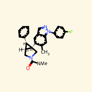 CNC(=O)N1C[C@H]2[C@H](c3ccccc3)[C@@]2(c2cc3cnn(-c4ccc(F)cc4)c3cc2C)C1